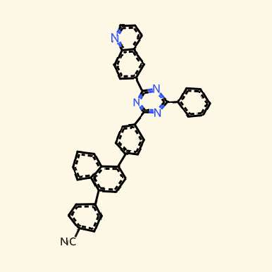 N#Cc1ccc(-c2ccc(-c3ccc(-c4nc(-c5ccccc5)nc(-c5ccc6ncccc6c5)n4)cc3)c3ccccc23)cc1